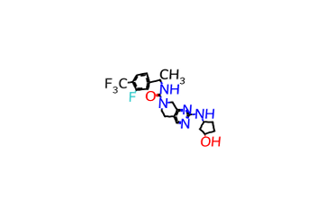 C[C@@H](NC(=O)N1CCc2cnc(N[C@H]3CC[C@H](O)C3)nc2C1)c1ccc(C(F)(F)F)c(F)c1